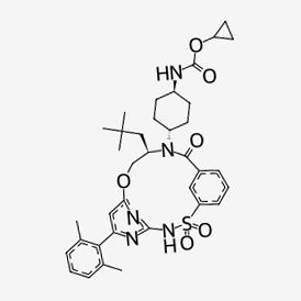 Cc1cccc(C)c1-c1cc2nc(n1)NS(=O)(=O)c1cccc(c1)C(=O)N([C@H]1CC[C@H](NC(=O)OC3CC3)CC1)[C@H](CC(C)(C)C)CO2